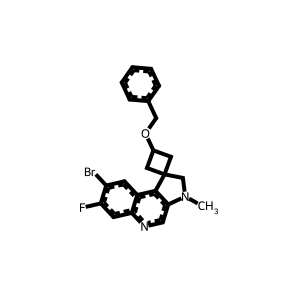 CN1CC2(CC(OCc3ccccc3)C2)c2c1cnc1cc(F)c(Br)cc21